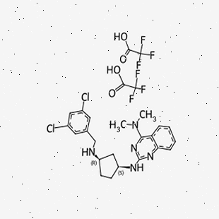 CN(C)c1nc(N[C@H]2CC[C@@H](NCc3cc(Cl)cc(Cl)c3)C2)nc2ccccc12.O=C(O)C(F)(F)F.O=C(O)C(F)(F)F